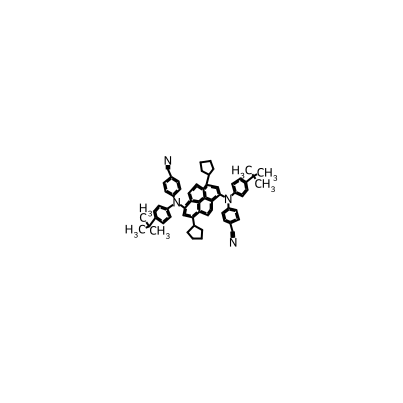 CC(C)(C)c1ccc(N(c2ccc(C#N)cc2)c2cc(C3CCCC3)c3ccc4c(N(c5ccc(C#N)cc5)c5ccc(C(C)(C)C)cc5)cc(C5CCCC5)c5ccc2c3c54)cc1